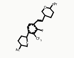 CCCC1CCC(/C=C/c2ccc(C3CCC(C(C)=O)CC3)c(C(F)(F)F)c2F)CO1